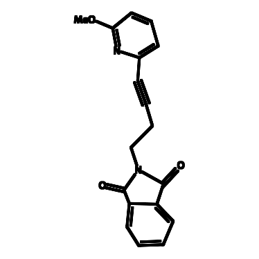 COc1cccc(C#CCCN2C(=O)c3ccccc3C2=O)n1